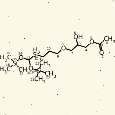 CC(=O)OCC(O)COCCC[SiH2]C(O[Si](C)(C)C)O[Si](C)(C)C